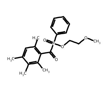 COCCOP(=O)(C(=O)c1c(C)cc(C)c(C)c1C)c1ccccc1